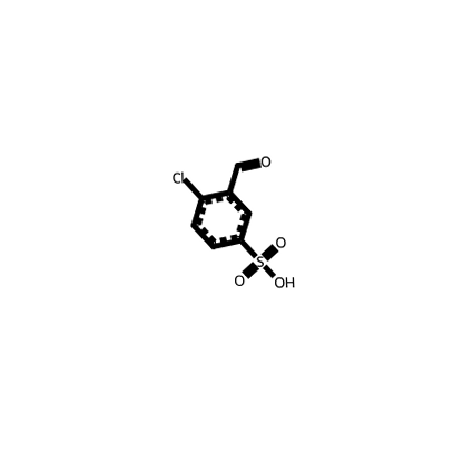 O=Cc1cc(S(=O)(=O)O)ccc1Cl